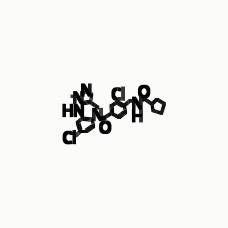 Cn1ncc2c1Nc1cc(Cl)ccc1N(C(=O)c1ccc(CNC(=O)C3CCCC3)c(Cl)c1)C2